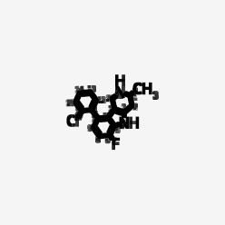 CC1Cc2[nH]c3c(F)ccc(-c4ccccc4Cl)c3c2CN1